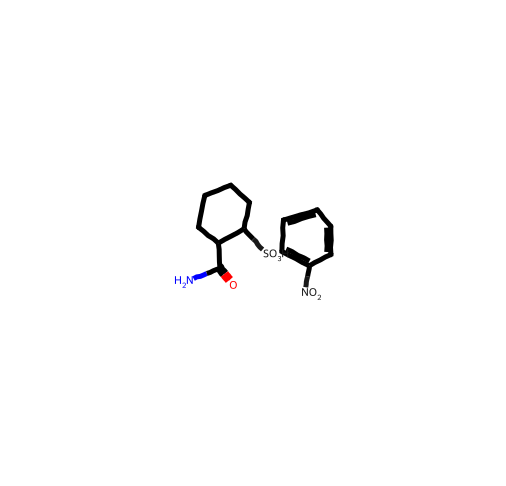 NC(=O)C1CCCCC1S(=O)(=O)O.O=[N+]([O-])c1ccccc1